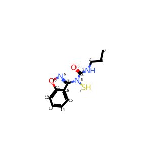 CCCNC(=O)N(S)c1noc2ccccc12